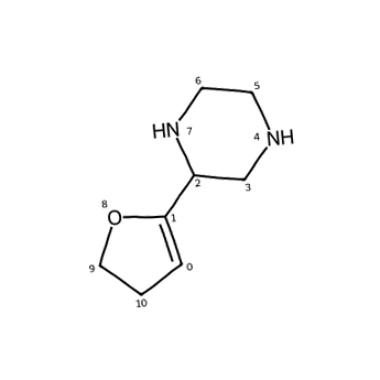 C1=C(C2CNCCN2)OCC1